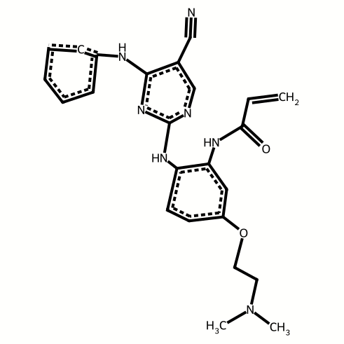 C=CC(=O)Nc1cc(OCCN(C)C)ccc1Nc1ncc(C#N)c(Nc2ccccc2)n1